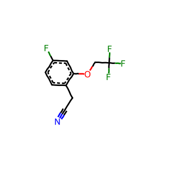 N#CCc1ccc(F)cc1OCC(F)(F)F